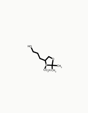 CC1(C)OCC(CCCO)N1C(=O)O